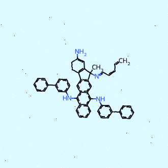 C=C/C=C\C=N\C1(C)C2=C(CCC(N)=C2)c2cc3c(Nc4cccc(-c5ccccc5)c4)c4ccccc4c(Nc4cccc(-c5ccccc5)c4)c3cc21